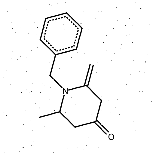 C=C1CC(=O)CC(C)N1Cc1ccccc1